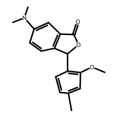 COc1cc(C)ccc1C1OC(=O)c2cc(N(C)C)ccc21